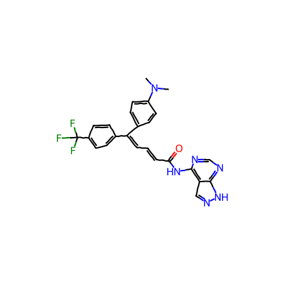 CN(C)c1ccc(C(=CC=CC(=O)Nc2ncnc3[nH]ncc23)c2ccc(C(F)(F)F)cc2)cc1